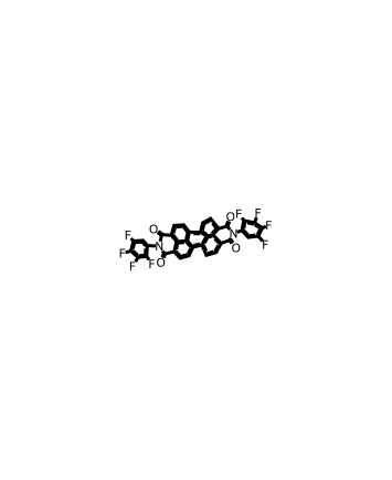 O=C1c2ccc3c4ccc5c6c(ccc(c7ccc(c2c37)C(=O)N1c1cc(F)c(F)c(F)c1F)c64)C(=O)N(c1cc(F)c(F)c(F)c1F)C5=O